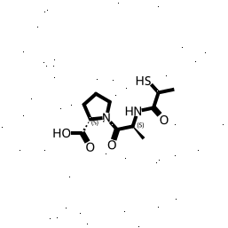 CC(S)C(=O)N[C@@H](C)C(=O)N1CCC[C@H]1C(=O)O